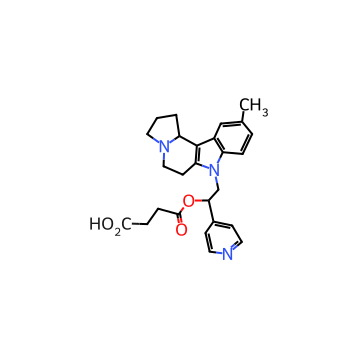 Cc1ccc2c(c1)c1c(n2CC(OC(=O)CCC(=O)O)c2ccncc2)CCN2CCCC12